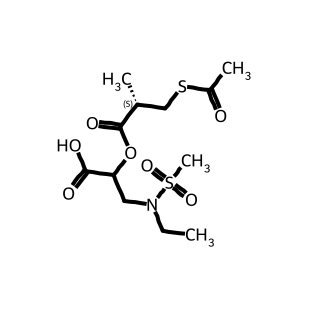 CCN(CC(OC(=O)[C@H](C)CSC(C)=O)C(=O)O)S(C)(=O)=O